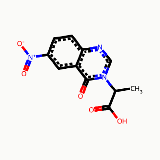 CC(C(=O)O)n1cnc2ccc([N+](=O)[O-])cc2c1=O